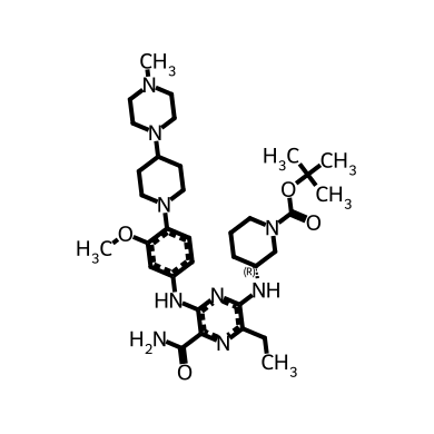 CCc1nc(C(N)=O)c(Nc2ccc(N3CCC(N4CCN(C)CC4)CC3)c(OC)c2)nc1N[C@@H]1CCCN(C(=O)OC(C)(C)C)C1